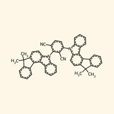 CC1(C)c2ccccc2-c2c1ccc1c2c2ccccc2n1-c1ccc(C#N)c(-n2c3ccccc3c3c4c(ccc32)C(C)(C)c2ccccc2-4)c1C#N